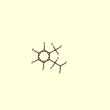 F[C](F)C(F)(F)c1c(F)c(F)c(F)c(F)c1C(F)(F)F